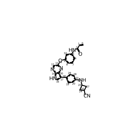 C=CC(=O)Nc1cccc(Oc2cnc3[nH]cc(-c4ccc(NC5CC(C#N)C5)cc4)c3n2)c1